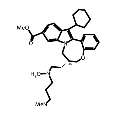 CNCCCN(C)CC[C@H]1COc2ccccc2-c2c(C3CCCCC3)c3ccc(C(=O)OC)cc3n2C1